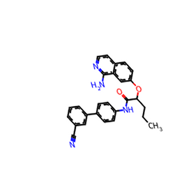 CCCC(Oc1ccc2ccnc(N)c2c1)C(=O)Nc1ccc(-c2cccc(C#N)c2)cc1